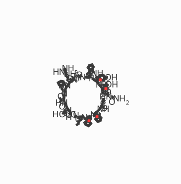 CCCC[C@H]1C(=O)N(C)CC(=O)N[C@@H](CC(=O)O)C(=O)N[C@@H](C(C)C)C(=O)N(C)[C@@H](Cc2ccccc2)C(=O)N[C@@H](CCCNC(=N)N)C(=O)N(C)CC(=O)N[C@@H](Cc2c[nH]c3ccccc23)C(=O)N[C@@H](Cc2ccc(O)cc2)C(=O)N[C@@H](CC(=O)O)C(=O)N[C@H](C(=O)NCC(N)=O)CSCC(=O)N[C@@H](Cc2ccccc2)C(=O)N(C)[C@@H](Cc2ccccc2)C(=O)N1C